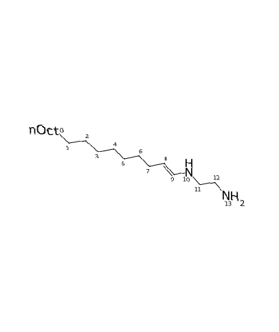 CCCCCCCCCCCCCCC/C=C/NCCN